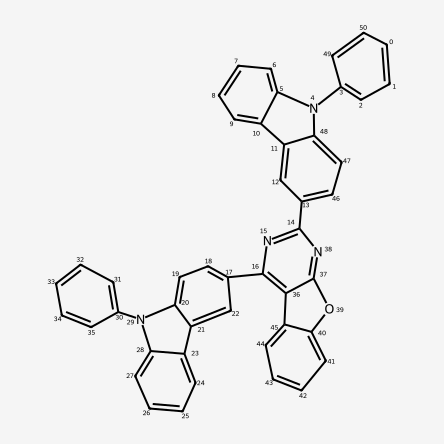 c1ccc(-n2c3ccccc3c3cc(-c4nc(-c5ccc6c(c5)c5ccccc5n6-c5ccccc5)c5c(n4)oc4ccccc45)ccc32)cc1